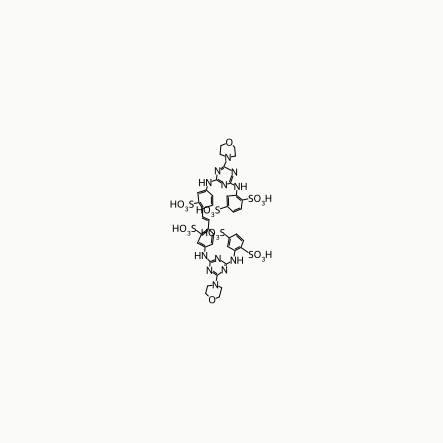 O=S(=O)(O)c1ccc(S(=O)(=O)O)c(Nc2nc(Nc3ccc(/C=C/c4ccc(Nc5nc(Nc6cc(S(=O)(=O)O)ccc6S(=O)(=O)O)nc(N6CCOCC6)n5)cc4S(=O)(=O)O)c(S(=O)(=O)O)c3)nc(N3CCOCC3)n2)c1